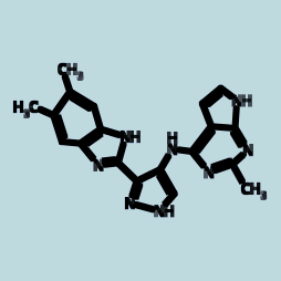 Cc1nc(Nc2c[nH]nc2-c2nc3cc(C)c(C)cc3[nH]2)c2cc[nH]c2n1